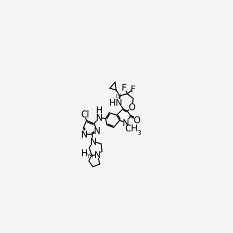 Cn1c(=O)c2c(c3cc(Nc4nc(N5CCN6CCC[C@H]6C5)ncc4Cl)ccc31)N[C@@H](C1CC1)C(F)(F)CO2